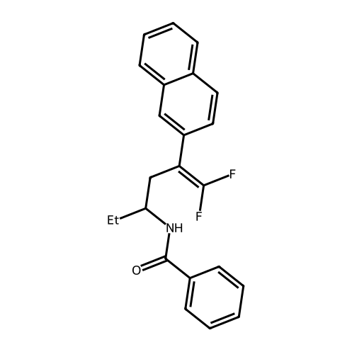 CCC(CC(=C(F)F)c1ccc2ccccc2c1)NC(=O)c1ccccc1